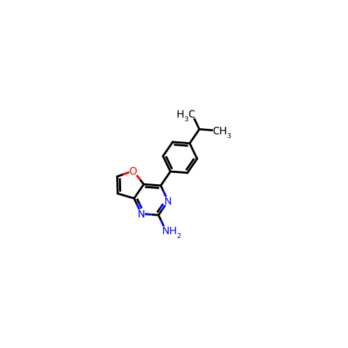 CC(C)c1ccc(-c2nc(N)nc3ccoc23)cc1